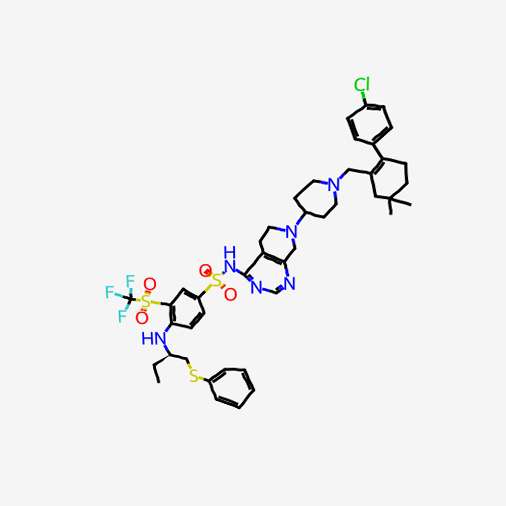 CC[C@H](CSc1ccccc1)Nc1ccc(S(=O)(=O)Nc2ncnc3c2CCN(C2CCN(CC4=C(c5ccc(Cl)cc5)CCC(C)(C)C4)CC2)C3)cc1S(=O)(=O)C(F)(F)F